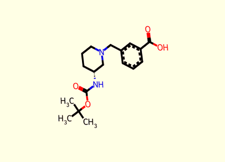 CC(C)(C)OC(=O)N[C@@H]1CCCN(Cc2cccc(C(=O)O)c2)C1